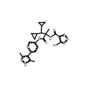 Cc1n[nH]c(C)c1-c1ccc(NC(=O)C(C)(NC(=O)c2nonc2C(C)C)C(C2CC2)C2CC2)cn1